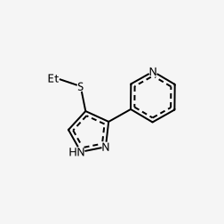 CCSc1c[nH]nc1-c1cccnc1